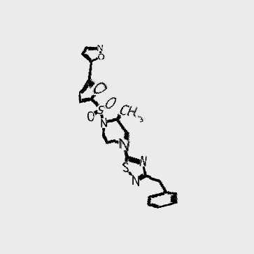 CC1CN(c2nc(Cc3ccccc3)ns2)CCN1S(=O)(=O)c1ccc(-c2ccno2)o1